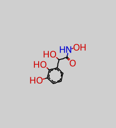 O=C(NO)C(O)c1cccc(O)c1O